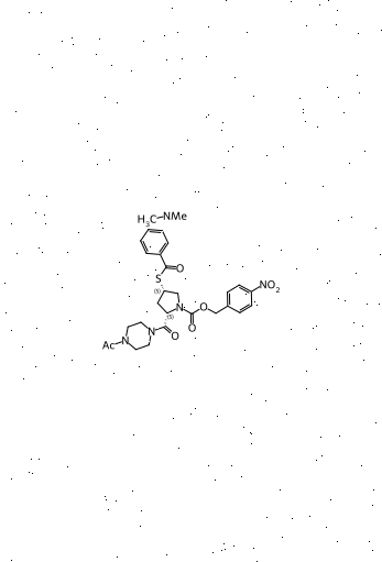 CC(=O)N1CCN(C(=O)[C@@H]2C[C@H](SC(=O)c3ccccc3)CN2C(=O)OCc2ccc([N+](=O)[O-])cc2)CC1.CNC